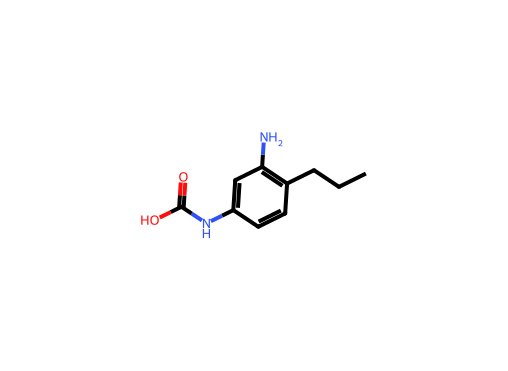 CCCc1ccc(NC(=O)O)cc1N